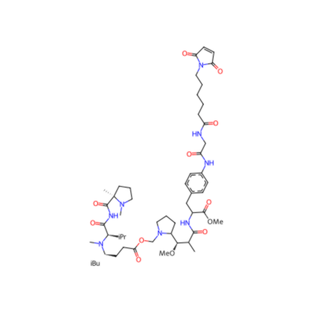 CC[C@H](C)[C@H](CCC(=O)OCN1CCCC1[C@H](OC)C(C)C(=O)NC(Cc1ccc(NC(=O)CNC(=O)CCCCCN2C(=O)C=CC2=O)cc1)C(=O)OC)N(C)[C@@H](C(=O)NC(=O)[C@@]1(C)CCCN1C)C(C)C